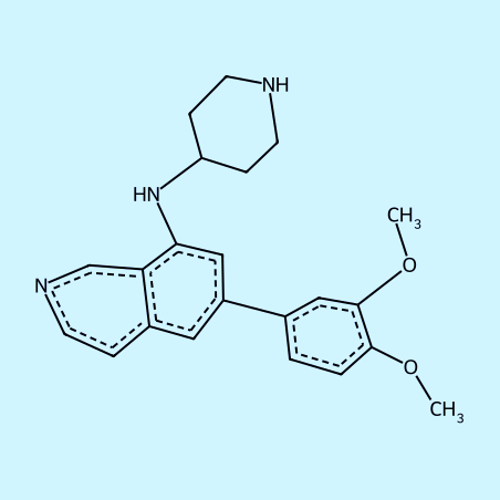 COc1ccc(-c2cc(NC3CCNCC3)c3cnccc3c2)cc1OC